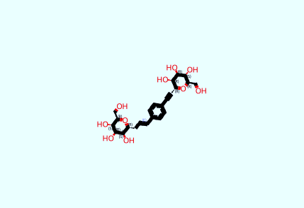 OC[C@H]1O[C@H](C/C=C/c2ccc(C#C[C@H]3O[C@H](CO)[C@@H](O)[C@H](O)[C@H]3O)cc2)[C@@H](O)[C@@H](O)[C@@H]1O